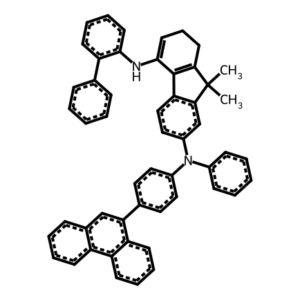 CC1(C)C2=C(C(Nc3ccccc3-c3ccccc3)=CCC2)c2ccc(N(c3ccccc3)c3ccc(-c4cc5ccccc5c5ccccc45)cc3)cc21